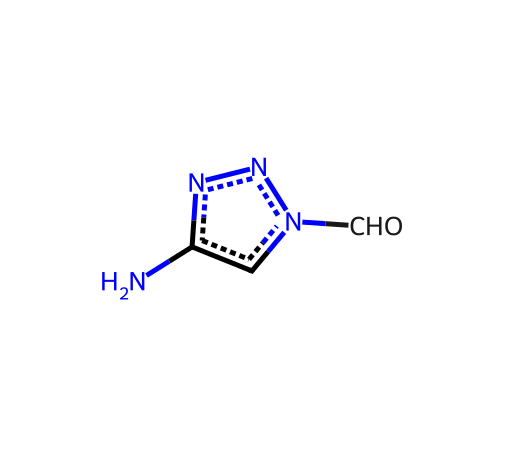 Nc1cn(C=O)nn1